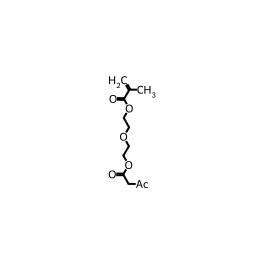 C=C(C)C(=O)OCCOCCOC(=O)CC(C)=O